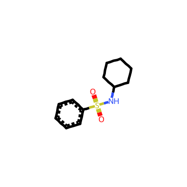 O=S(=O)(NC1CCCCC1)c1ccccc1